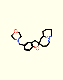 c1cc2c(cc1CN1CCOCC1)CC1(CCCN3CCCCC3C1)O2